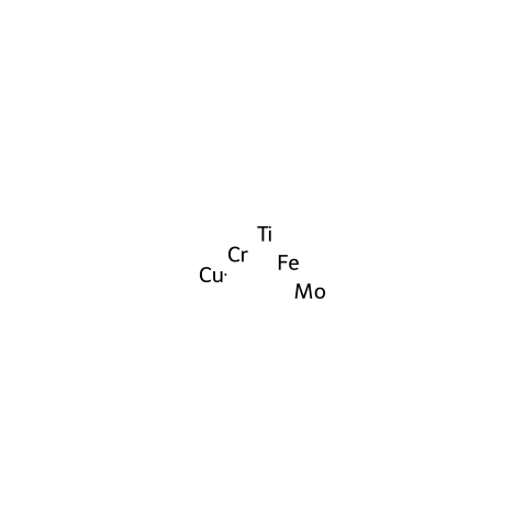 [Cr].[Cu].[Fe].[Mo].[Ti]